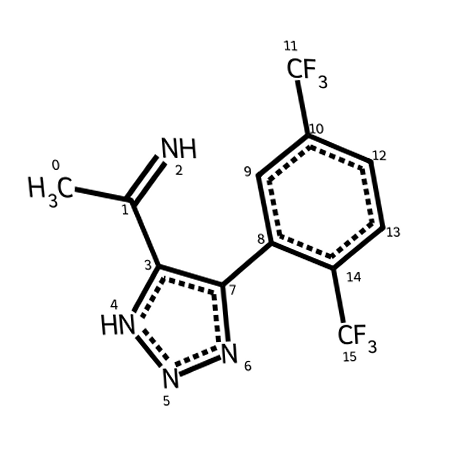 CC(=N)c1[nH]nnc1-c1cc(C(F)(F)F)ccc1C(F)(F)F